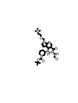 CC(C)(C)OC(=O)N1CCC[C@@H](Nc2c(C(=O)NNC=O)cnc3c2ccn3COCC[Si](C)(C)C)C1